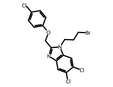 Clc1ccc(OCc2nc3cc(Cl)c(Cl)cc3n2CCCBr)cc1